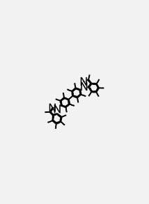 Cc1c(C)c(-n2nc(C)c3c(C)c(C)c(C)c(C)c32)c(C)c(C)c1-c1c(C)c(C)c(-n2nc(C)c3c(C)c(C)c(C)c(C)c32)c(C)c1C